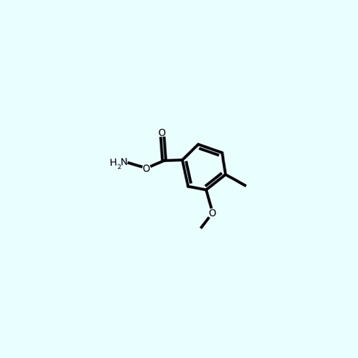 COc1cc(C(=O)ON)ccc1C